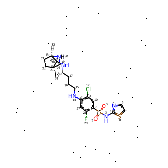 O=S(=O)(Nc1nccs1)c1cc(Cl)c(NCCCCN[C@H]2[C@@H]3CC[C@H]2NC3)cc1F